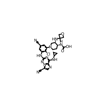 CC1(N[C@@H]2CN(c3cc(C#N)cc(Nc4nc(NC5CC5)c5ncc(C#N)n5n4)c3Cl)CC[C@@H]2NC(=O)O)COC1